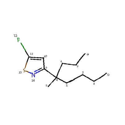 CCCCC(C)(CCC)c1cc(F)sn1